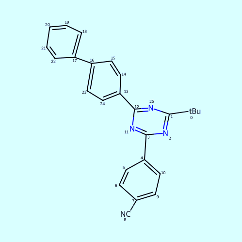 CC(C)(C)c1nc(-c2ccc(C#N)cc2)nc(-c2ccc(-c3ccccc3)cc2)n1